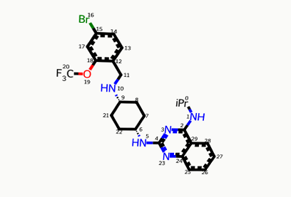 CC(C)Nc1nc(N[C@H]2CC[C@@H](NCc3ccc(Br)cc3OC(F)(F)F)CC2)nc2ccccc12